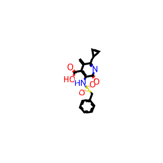 C=C1C(C2CC2)=NC(=O)C(NS(=O)(=O)Cc2ccccc2)=C1C(=O)O